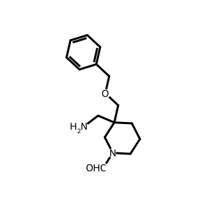 NCC1(COCc2ccccc2)CCCN(C=O)C1